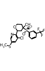 CSc1cnc(C2CC(C)(S(=O)(=O)c3cccc(C(F)(F)F)c3)CCO2)c(Cl)c1